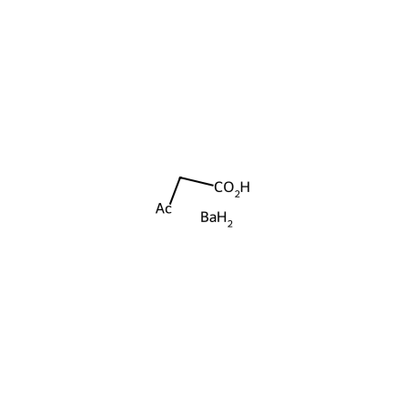 CC(=O)CC(=O)O.[BaH2]